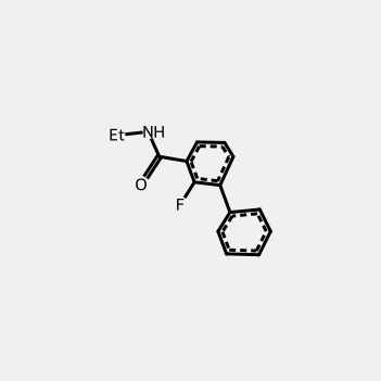 CCNC(=O)c1cccc(-c2ccccc2)c1F